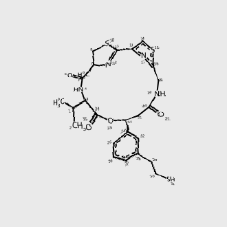 CC(C)C1NC(=O)[C@]2(C)CSC(=N2)c2csc(n2)CNC(=O)C[C@@H](c2cccc(CCS)c2)OC1=O